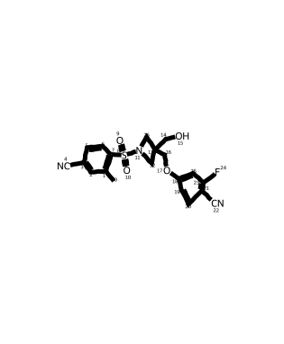 Cc1cc(C#N)ccc1S(=O)(=O)N1CC(CO)(COc2ccc(C#N)c(F)c2)C1